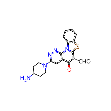 NC1CCN(c2cc3c(=O)c(C=O)c4sc5ccccc5n4c3nn2)CC1